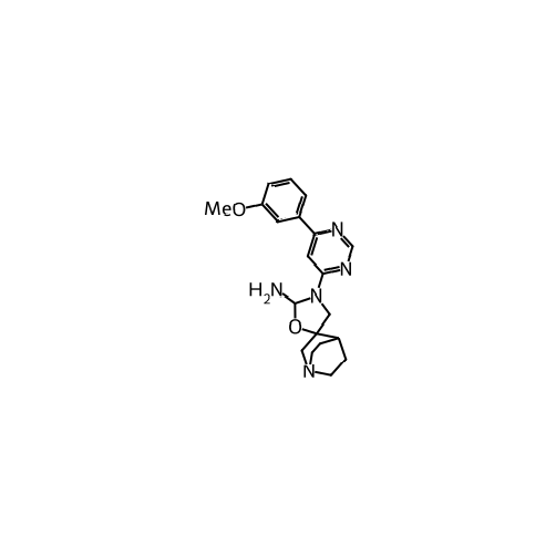 COc1cccc(-c2cc(N3CC4(CN5CCC4CC5)OC3N)ncn2)c1